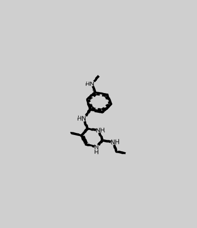 CCNC1NC=C(C)C(Nc2cccc(NC)c2)N1